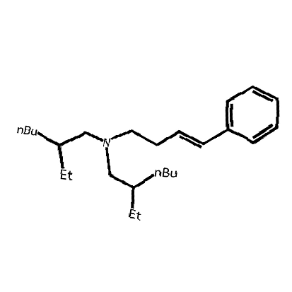 CCCCC(CC)CN(CCC=Cc1ccccc1)CC(CC)CCCC